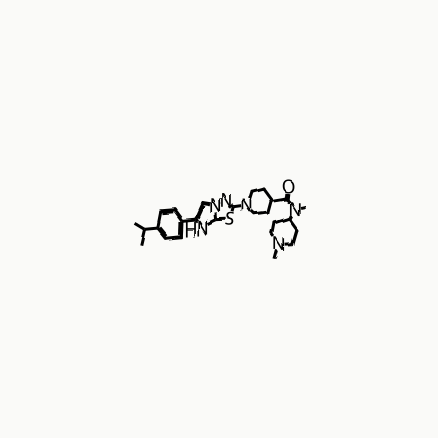 CC(C)c1ccc(C2=CN3N=C(N4CCC(C(=O)N(C)C5CCN(C)CC5)CC4)SC3N2)cc1